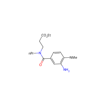 CCCN(CCC(=O)OCC)C(=O)c1ccc(NC)c(N)c1